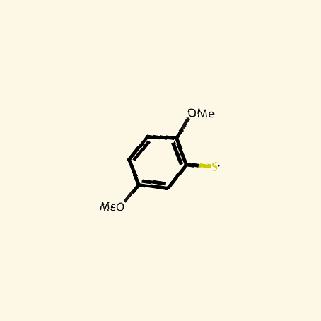 COc1ccc(OC)c([S])c1